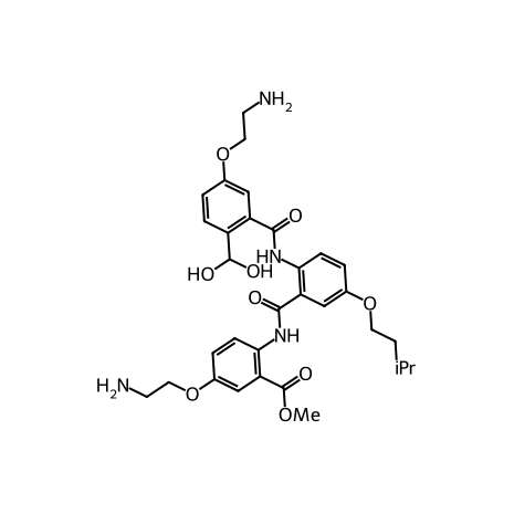 COC(=O)c1cc(OCCN)ccc1NC(=O)c1cc(OCCC(C)C)ccc1NC(=O)c1cc(OCCN)ccc1C(O)O